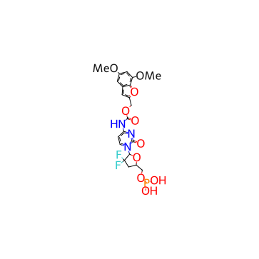 COc1cc(OC)c2oc(COC(=O)Nc3ccn(C4OC(COP(O)O)CC4(F)F)c(=O)n3)cc2c1